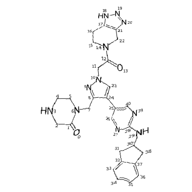 O=C1CNCCN1Cc1nn(CC(=O)N2CCc3[nH]nnc3C2)cc1-c1cnc(NC2Cc3ccccc3C2)nc1